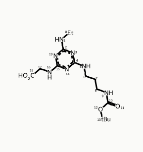 CCNc1nc(NCCCNC(=O)OC(C)(C)C)nc(NCC(=O)O)n1